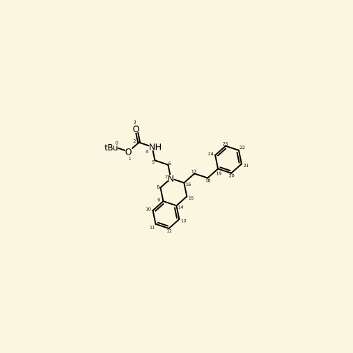 CC(C)(C)OC(=O)NCCN1Cc2ccccc2CC1CCc1ccccc1